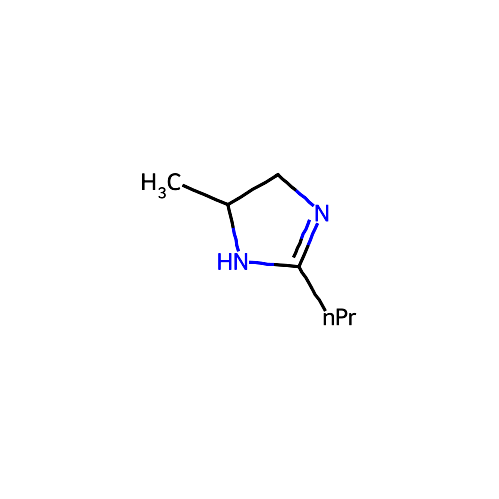 CCCC1=NCC(C)N1